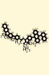 C=CC1=C(/C=C(\C)c2ccc3c(c2)oc2cc4c(cc23)-c2cc3ccccc3cc2C4(C)C)c2ccc(-c3c4ccccc4c(-c4cccc5ccccc45)c4ccccc34)cc2C1(C)C